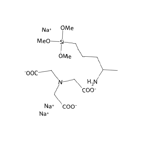 CO[Si](CCCC(C)N)(OC)OC.O=C([O-])CN(CC(=O)[O-])CC(=O)[O-].[Na+].[Na+].[Na+]